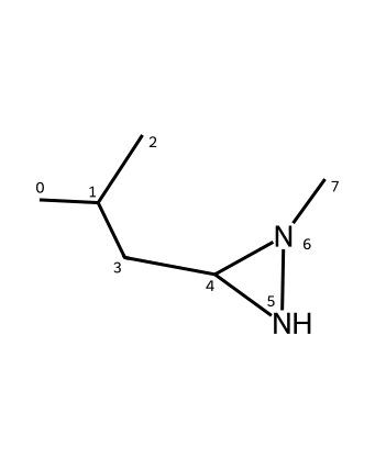 CC(C)CC1NN1C